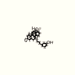 C[C@]12CCC(=O)C=C1C[C@@H](CCCCc1cccc(O)c1)[C@@H]1[C@@H]2CC[C@@]2(C)[C@H]1CC[C@]2(C)O